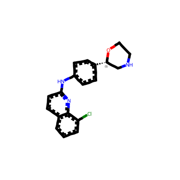 Clc1cccc2ccc(Nc3ccc([C@H]4CNCCO4)cc3)nc12